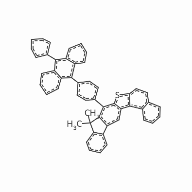 CC1(C)c2ccccc2-c2cc3c(sc4ccc5ccccc5c43)c(-c3ccc(-c4c5ccccc5c(-c5ccccc5)c5ccccc45)cc3)c21